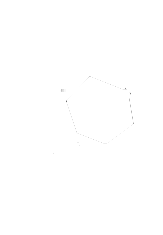 O[C@@H]1CNCC[C@@H]1O